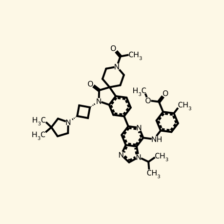 COC(=O)c1cc(Nc2nc(-c3ccc4c(c3)N([C@H]3C[C@@H](N5CCC(C)(C)C5)C3)C(=O)C43CCN(C(C)=O)CC3)cc3ncn(C(C)C)c23)ccc1C